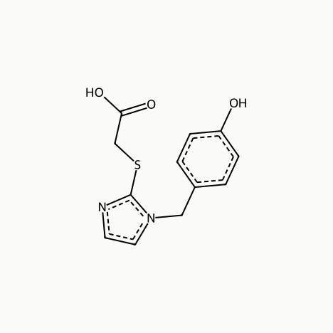 O=C(O)CSc1nccn1Cc1ccc(O)cc1